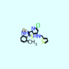 C[C@H]1C=CC[C@@H](N)[C@@H]1c1sc2c(NCc3cccs3)cc(Cl)nc2c1Br